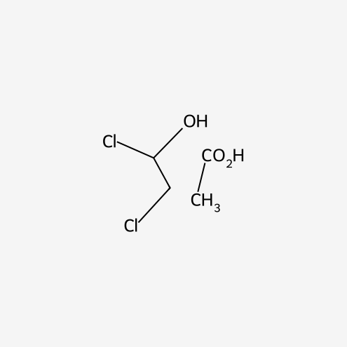 CC(=O)O.OC(Cl)CCl